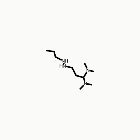 CCCNNCCC(N(C)C)N(C)C